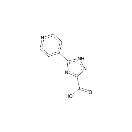 O=C(O)c1n[nH]c(-c2ccncc2)n1